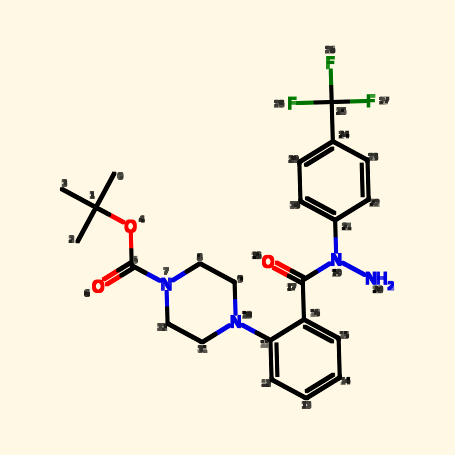 CC(C)(C)OC(=O)N1CCN(c2ccccc2C(=O)N(N)c2ccc(C(F)(F)F)cc2)CC1